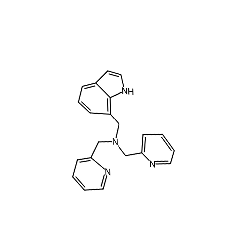 c1ccc(CN(Cc2ccccn2)Cc2cccc3cc[nH]c23)nc1